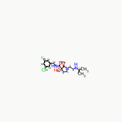 C=C(C)NCCN1CCC(O)(C(=O)NCc2cc(F)cc(Cl)c2)C1=O